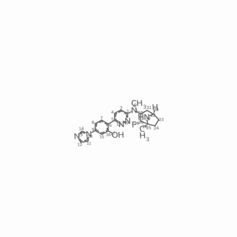 CN(c1ccc(-c2ccc(-n3ccnc3)cc2O)nn1)[C@H]1C[C@@H]2CC[C@@](C)(N2)[C@@H]1F